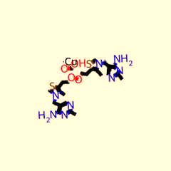 Cc1ncc(C[n+]2csc(CCOOCCc3sc[n+](Cc4cnc(C)nc4N)c3C)c2C)c(N)n1.O=CO.[Cu]